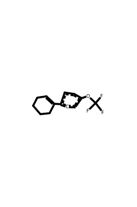 FC(F)(F)Oc1ccc(C2=CCCCC2)cc1